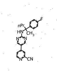 CCCC(C)(Nc1ncc(-c2ccnc(C#N)c2)cn1)c1ccc(F)cc1